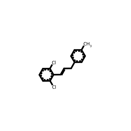 Cc1ccc(CC=Cc2c(Cl)cccc2Cl)cc1